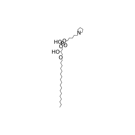 CCCCCCCCCCCCCCCCCCOCC(O)COP(=O)(O)OCCCCCN1CCCC1